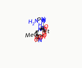 CC[C@H]1OC(=O)[C@H](C)C(=O)C[C@@H](O[C@@H]2OC(C)CC(N(C)C)C2O)[C@](C)(OC)C[C@@H](C)CN[C@H](C)[C@H]2N(CCCCn3cc(-c4cccc(N)c4)nn3)C(=O)O[C@]12C